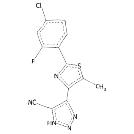 Cc1sc(-c2ccc(Cl)cc2F)nc1-c1nn[nH]c1C#N